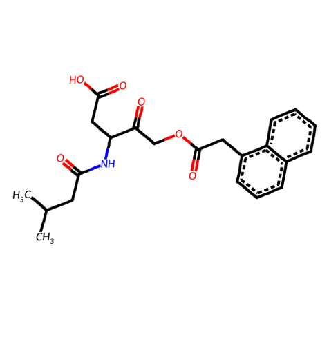 CC(C)CC(=O)NC(CC(=O)O)C(=O)COC(=O)Cc1cccc2ccccc12